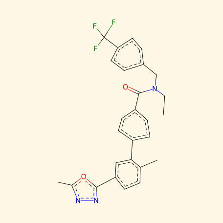 CCN(Cc1ccc(C(F)(F)F)cc1)C(=O)c1ccc(-c2cc(-c3nnc(C)o3)ccc2C)cc1